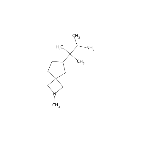 CC(N)C(C)(C)C1CCC2(C1)CN(C)C2